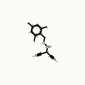 Cc1cc(C)c(CONC(C#N)C#N)c(C)c1